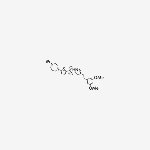 COc1cc(CCc2cc(NC(=O)c3ccc(N4CCCN(C(C)C)CC4)s3)[nH]n2)cc(OC)c1